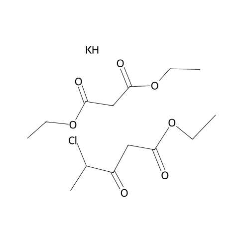 CCOC(=O)CC(=O)C(C)Cl.CCOC(=O)CC(=O)OCC.[KH]